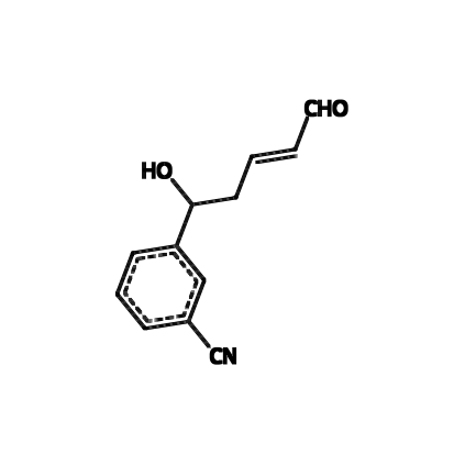 N#Cc1cccc(C(O)CC=CC=O)c1